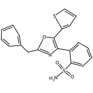 NS(=O)(=O)c1ccccc1-c1nc(Cc2ccccc2)oc1-c1cccs1